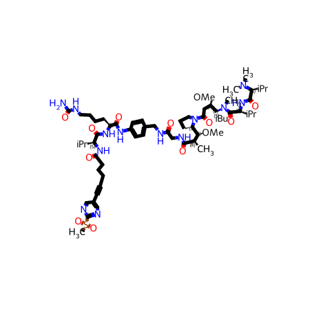 CC[C@H](C)[C@@H]([C@@H](CC(=O)N1CCC[C@H]1[C@H](OC)[C@@H](C)C(=O)NCC(=O)NCc1ccc(NC(=O)[C@H](CCCCNC(N)=O)NC(=O)[C@@H](NC(=O)CCCC#Cc2cnc(S(C)(=O)=O)nc2)C(C)C)cc1)OC)N(C)C(=O)[C@@H](NC(=O)[C@H](C(C)C)N(C)C)C(C)C